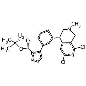 CN1Cc2c(Cl)cc(Cl)cc2[C@H](c2cccc(-c3cccn3C(=O)OC(C)(C)C)c2)C1